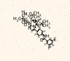 CC(C)(C)OC(=O)N(C(=O)OC(C)(C)C)c1ncc(-c2ccc(NC(=O)c3cc(F)cc(F)c3)cc2)n1C(=O)OC(C)(C)C